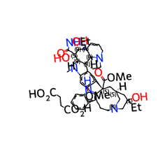 CC[C@]1(O)C[C@H]2C[N@](CCc3c([nH]c4ccccc34)[C@@](C(=O)OC)(c3cc4c(cc3OC)N(C)[C@H]3[C@@](O)(C(N)=O)[C@H](O)[C@]5(CC)C=CCN6CC[C@]43[C@@H]65)C2)C1.O=C(O)CCC(=O)O